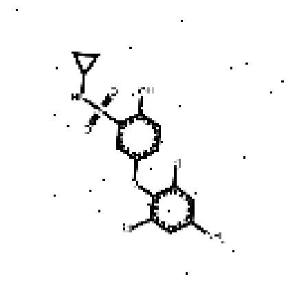 Nc1cc(Cl)c(Oc2ccc(O)c(S(=O)(=O)NC3CC3)c2)c(Cl)c1